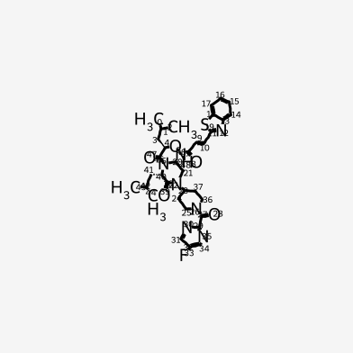 CC(C)C[C@H]1ON(C(=O)/C=C/c2nc3ccccc3s2)[C@H]2CN(C3CCN(C(=O)c4ncc(F)cn4)CC3)C(=O)[C@H](CC(C)C)N2C1=O